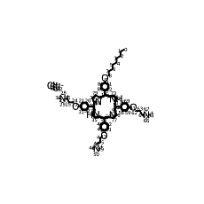 CCCCCCCCCOc1ccc(-c2c3nc(c(-c4ccc(OCCC[N+](C)(C)C)cc4)c4ccc([nH]4)c(-c4ccc(OCCC[N+](C)(C)C)cc4)c4nc(c(-c5ccc(OCCC[N+](C)(C)C)cc5)c5ccc2[nH]5)C=C4)C=C3)cc1.[Cl-].[Cl-].[Cl-]